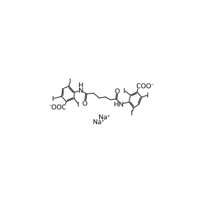 O=C(CCCCC(=O)Nc1c(I)cc(I)c(C(=O)[O-])c1I)Nc1c(I)cc(I)c(C(=O)[O-])c1I.[Na+].[Na+]